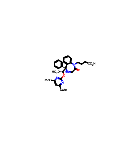 COc1cc(OC)nc(O[C@H](C(=O)O)[C@@]2(c3ccccc3)NCC(=O)N(CCCC(=O)O)c3ccccc32)n1